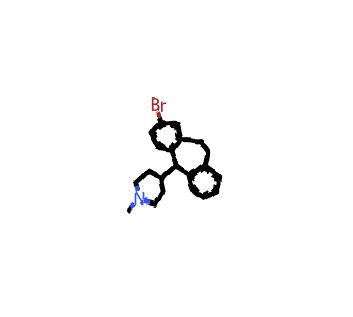 CN1CCC(C2c3ccccc3CCc3cc(Br)ccc32)CC1